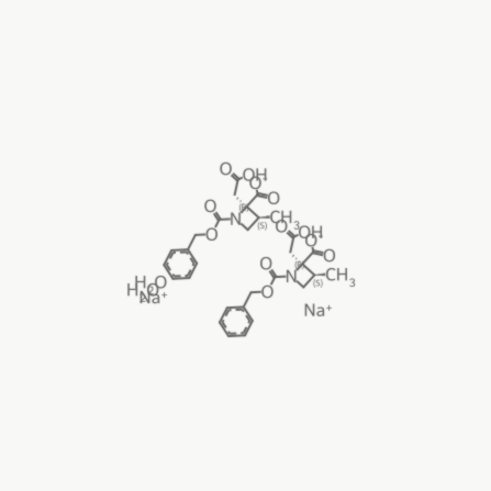 C[C@H]1CN(C(=O)OCc2ccccc2)[C@@]1(CC(=O)O)C(=O)[O-].C[C@H]1CN(C(=O)OCc2ccccc2)[C@@]1(CC(=O)O)C(=O)[O-].O.O.[Na+].[Na+]